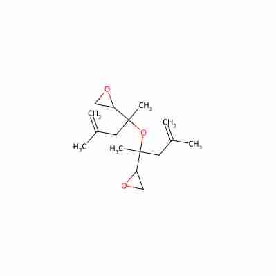 C=C(C)CC(C)(OC(C)(CC(=C)C)C1CO1)C1CO1